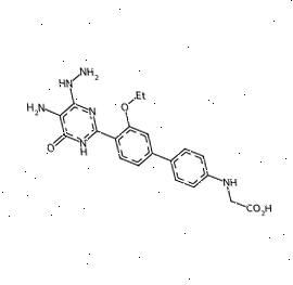 CCOc1cc(-c2ccc(NCC(=O)O)cc2)ccc1-c1nc(NN)c(N)c(=O)[nH]1